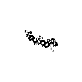 CCS(=O)(=O)c1ccc(CC(=O)Nc2nc3c(cc2C)C(=O)C(C)(c2nccn4ccnc24)CC3)cc1